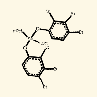 CCCCCCC[CH2][Sn]([CH2]CCCCCCC)([O]c1ccc(CC)c(CC)c1CC)[O]c1ccc(CC)c(CC)c1CC